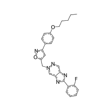 CCCCCOc1ccc(-c2cc(Cn3cc4nc(-c5ccccc5F)nc-4cn3)on2)cc1